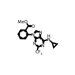 COC(=O)c1ccccc1-n1cnc2c(NC3CC3)nc(C(F)(F)F)nc21